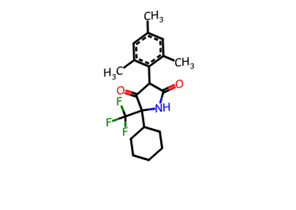 Cc1cc(C)c(C2C(=O)NC(C3CCCCC3)(C(F)(F)F)C2=O)c(C)c1